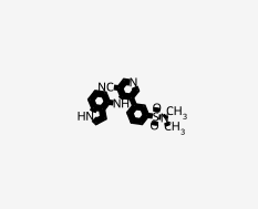 CN(C)S(=O)(=O)c1cccc(-c2cncc(C#N)c2Nc2cccc3[nH]ccc23)c1